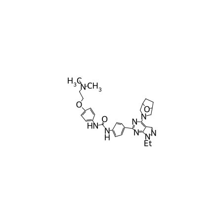 CCn1ncc2c(N3CC4CCC(C3)O4)nc(-c3ccc(NC(=O)Nc4ccc(OCCN(C)C)cc4)cc3)nc21